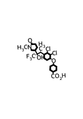 C[C@H](c1ccc(Oc2ccc(C(=O)O)cc2)c(Cl)c1Cl)[C@@](O)(c1ccc(=O)n(C)c1)C(F)(F)F